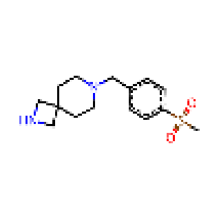 CS(=O)(=O)c1ccc(CN2CCC3(CC2)CNC3)cc1